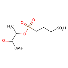 COC(=O)C(C)OS(=O)(=O)CCCS(=O)(=O)O